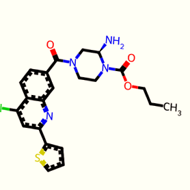 CCCOC(=O)N1CCN(C(=O)c2ccc3c(Cl)cc(-c4cccs4)nc3c2)C[C@H]1N